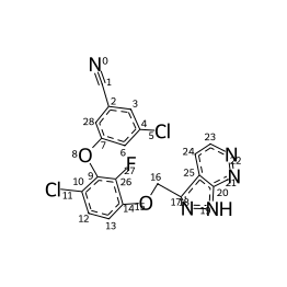 N#Cc1cc(Cl)cc(Oc2c(Cl)ccc(OCc3n[nH]c4nnccc34)c2F)c1